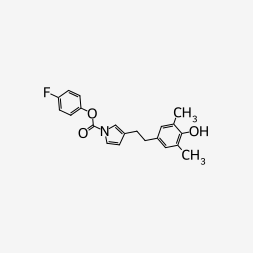 Cc1cc(CCc2ccn(C(=O)Oc3ccc(F)cc3)c2)cc(C)c1O